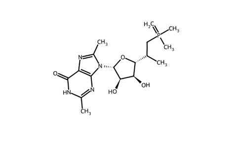 C=P(C)(C)CC(C)[C@H]1O[C@@H](n2c(C)nc3c(=O)[nH]c(C)nc32)[C@H](O)[C@@H]1O